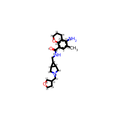 Cc1cc(C(=O)NCC2C3CN(CC4CCOC4)CC23)c2c(c1N)CCCO2